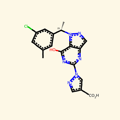 Cc1cc(Cl)cc([C@H](C)n2ncc3nc(-n4cc(C(=O)O)cn4)nc(O)c32)c1